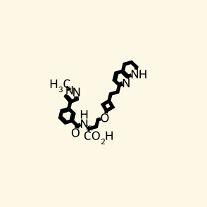 Cn1cc(-c2cccc(C(=O)N[C@@H](CCOC3CC(CCc4ccc5c(n4)NCCC5)C3)C(=O)O)c2)cn1